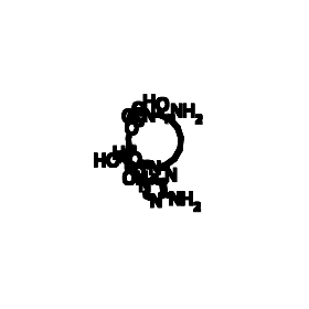 Nc1ncnc2c1nc1n2[C@@H]2O[C@H](COS(=O)(=O)NC(=O)[C@@H](N)CCCC1)[C@@H](O)[C@H]2O